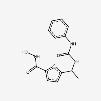 CC(NC(=O)Nc1ccccc1)c1ccc(C(=O)NO)s1